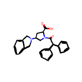 O=C(O)C1CC(N2Cc3ccccc3C2)CN1C(=O)C(c1ccccc1)c1ccccc1